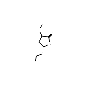 COC1C[C@@H](CCO)NC1=O